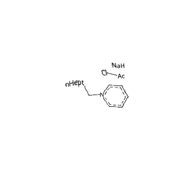 CC(=O)Cl.CCCCCCCC[n+]1ccccc1.[NaH]